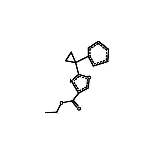 CCOC(=O)c1coc(C2(c3ccccc3)CC2)n1